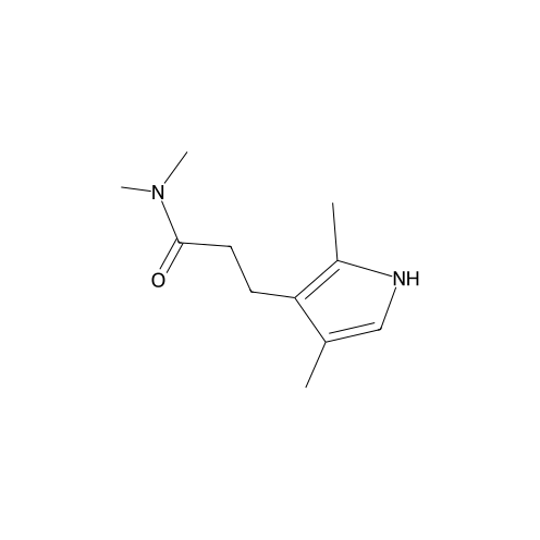 Cc1c[nH]c(C)c1CCC(=O)N(C)C